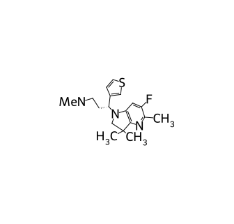 CNCC[C@H](c1ccsc1)N1CC(C)(C)c2nc(C)c(F)cc21